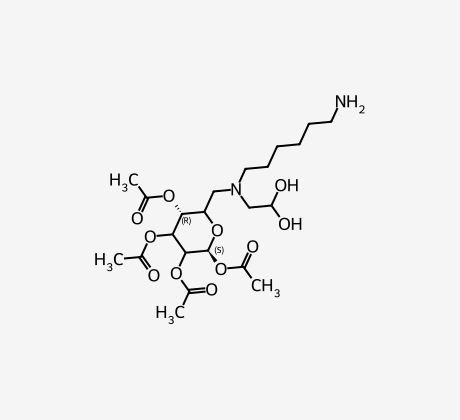 CC(=O)OC1C(OC(C)=O)[C@H](OC(C)=O)C(CN(CCCCCCN)CC(O)O)O[C@H]1OC(C)=O